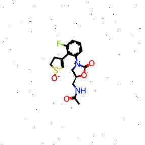 CC(=O)NC[C@H]1CN(c2cccc(F)c2C2=C[S+]([O-])CC2)C(=O)O1